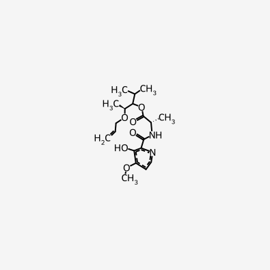 C=CCO[C@@H](C)C(OC(=O)[C@H](C)NC(=O)c1nccc(OC)c1O)C(C)C